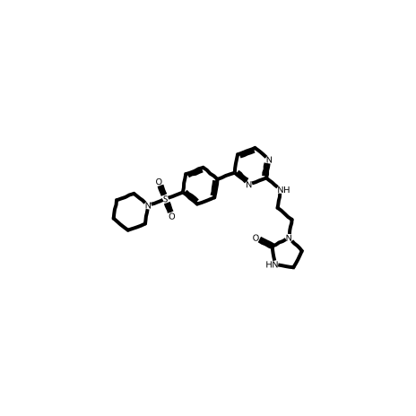 O=C1NCCN1CCNc1nccc(-c2ccc(S(=O)(=O)N3CCCCC3)cc2)n1